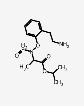 CC(C)OC(=O)C(C)N(Oc1ccccc1CCN)[PH2]=O